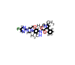 Cc1cc2c(cc1NC(=O)C(=O)c1c(-c3ccccc3)cc(C)n1C)OCC1CN(c3ncc(F)cn3)CCN21